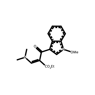 CCOC(=O)/C(=C/N(C)C)C(=O)c1cn(OC)c2ccccc12